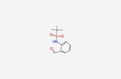 CC(C)(C)S(=O)(=O)Nc1ccccc1C=O